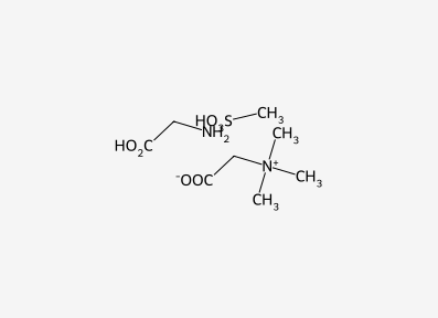 CS(=O)(=O)O.C[N+](C)(C)CC(=O)[O-].NCC(=O)O